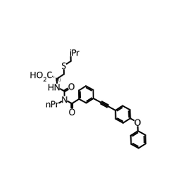 CCCN(C(=O)N[C@@H](CSCC(C)C)C(=O)O)C(=O)c1cccc(C#Cc2ccc(Oc3ccccc3)cc2)c1